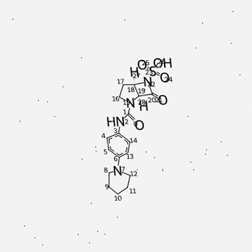 O=C(Nc1ccc(N2CCCCC2)cc1)N1CC[C@@H]2[C@H]1C(=O)N2S(=O)(=O)O